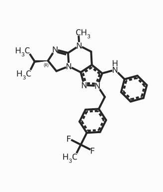 CC(C)[C@@H]1CN2C(=N1)N(C)Cc1c2nn(Cc2ccc(C(C)(F)F)cc2)c1Nc1ccccc1